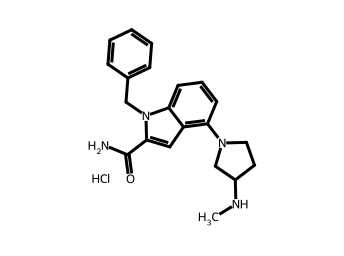 CNC1CCN(c2cccc3c2cc(C(N)=O)n3Cc2ccccc2)C1.Cl